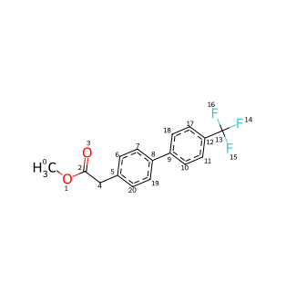 COC(=O)Cc1ccc(-c2ccc(C(F)(F)F)cc2)cc1